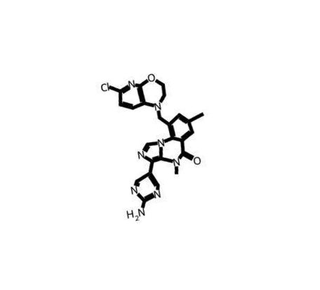 Cc1cc(CN2CCOc3nc(Cl)ccc32)c2c(c1)c(=O)n(C)c1c(-c3cnc(N)nc3)ncn21